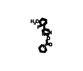 CC1C=CC=C(c2cnc(OCC(=O)N3CCCCC3)nc2)C1F